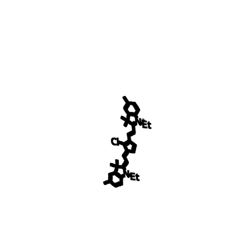 CCN1/C(=C/C=C2\C=CC(/C=C/C3=[N+](CC)c4ccc(C)cc4C3(C)C)=C2Cl)C(C)(C)c2cc(C)ccc21